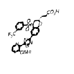 COc1cccnc1-c1nc(-c2ccc3c(c2)N(S(=O)(=O)c2cccc(C(F)(F)F)c2)C[C@H](CCC(=O)O)O3)no1